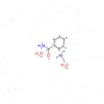 CN(C)C.NC(=O)c1ccccc1.O.O